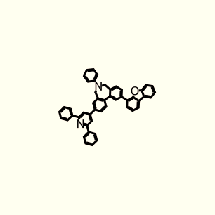 c1ccc(-c2cc(-c3ccc4c(c3)CN(c3ccccc3)Cc3ccc(-c5cccc6c5oc5ccccc56)cc3-4)cc(-c3ccccc3)n2)cc1